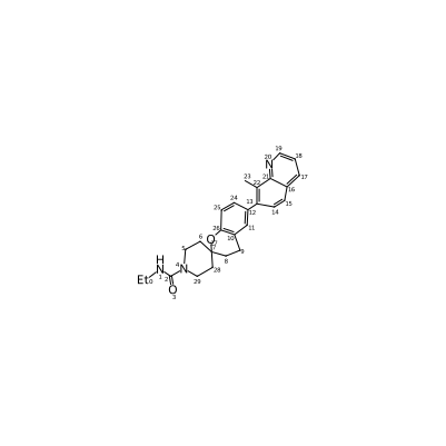 CCNC(=O)N1CCC2(CCc3cc(-c4ccc5cccnc5c4C)ccc3O2)CC1